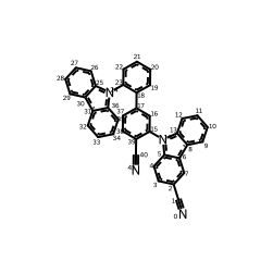 N#Cc1ccc2c(c1)c1ccccc1n2-c1cc(-c2ccccc2-n2c3ccccc3c3ccccc32)ccc1C#N